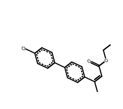 CCOC(=O)/C=C(/C)c1ccc(-c2ccc(Cl)cc2)cc1